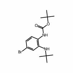 CC(C)(C)Nc1cc(Br)ccc1NC(=O)OC(C)(C)C